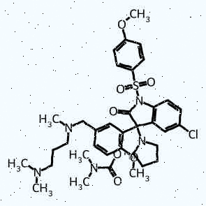 COc1ccc(S(=O)(=O)N2C(=O)C(c3cc(CN(C)CCCN(C)C)ccc3OC)(N3CCC[C@@H]3OC(=O)N(C)C)c3cc(Cl)ccc32)cc1